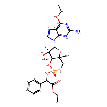 CCOC(=O)C(OP1(=O)OC[C@H]2O[C@@H](n3cnc4c(OCC)nc(N)nc43)[C@](C)(O)[C@@H]2O1)c1ccccc1